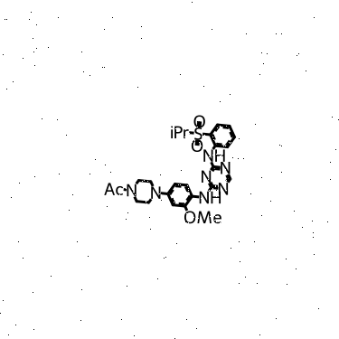 COc1cc(N2CCN(C(C)=O)CC2)ccc1Nc1ncnc(Nc2ccccc2S(=O)(=O)C(C)C)n1